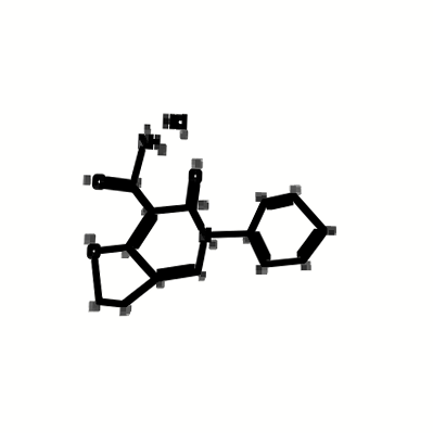 Cl.NC(=O)c1c2c(cn(-c3ccccc3)c1=O)CCO2